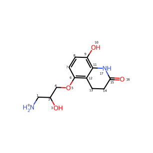 NCC(O)COc1ccc(O)c2c1CCC(=O)N2